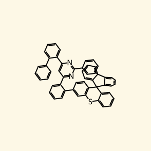 c1ccc(-c2nc(-c3ccccc3-c3ccccc3)cc(-c3ccccc3-c3ccc4c(c3)Sc3ccccc3C43c4ccccc4-c4ccccc43)n2)cc1